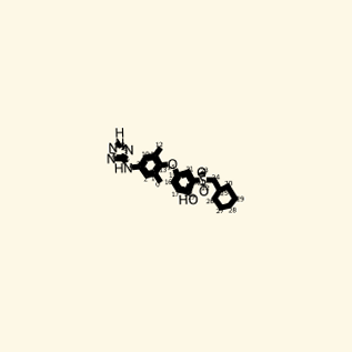 Cc1cc(Nc2nn[nH]n2)cc(C)c1Oc1ccc(O)c(S(=O)(=O)CC2CCCCC2)c1